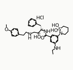 CCNc1cc(C(=O)N[C@@H](Cc2ccccc2)[C@H](O)CNCCc2ccc(OC)cc2)cc(N2CCCCS2(O)O)c1.Cl